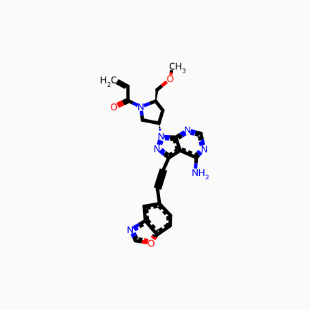 C=CC(=O)N1C[C@@H](n2nc(C#Cc3ccc4ocnc4c3)c3c(N)ncnc32)C[C@@H]1COC